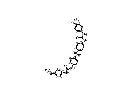 O=C(Nc1ccc(SC(F)(F)F)cc1)Nc1ccc(S(=O)(=O)c2ccc(NC(=O)Nc3ccc(SC(F)(F)F)cc3)cc2)cc1